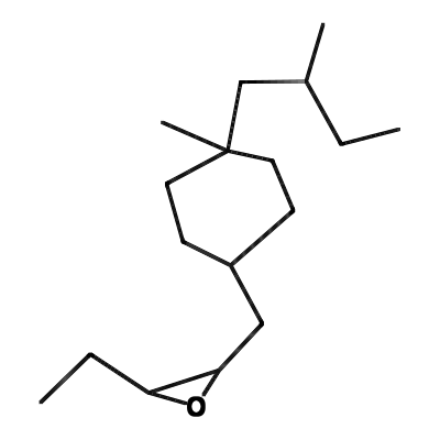 CCC(C)CC1(C)CCC(CC2OC2CC)CC1